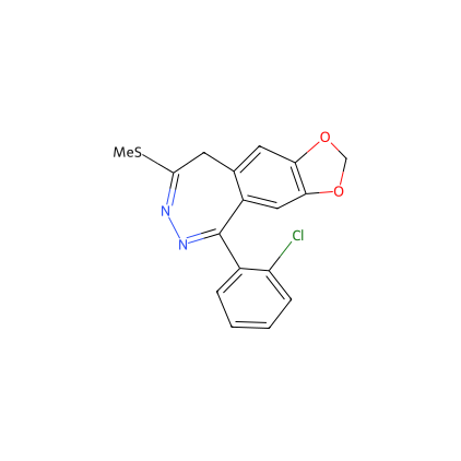 CSC1=NN=C(c2ccccc2Cl)c2cc3c(cc2C1)OCO3